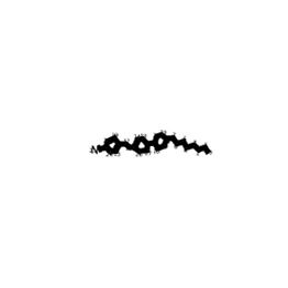 CCCCCCCCC1CCC(C2CC=C(CCc3ccc(C#N)cc3)CC2)CC1